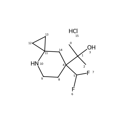 CC(C)(O)C1(C(F)F)CCNC2(CC2)C1.Cl